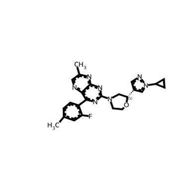 Cc1ccc(-c2nc(N3CCO[C@@H](c4cnn(C5CC5)c4)C3)nc3nc(C)cnc23)c(F)c1